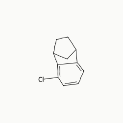 Clc1cccc2c1C1CCC2C1